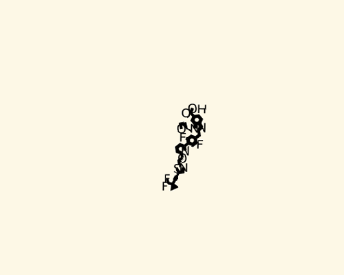 O=C(O)c1ccc2nc(Cc3cc(F)c(-c4cccc(OCc5ncc(C#CC6(C(F)F)CC6)s5)n4)cc3F)n(C[C@@H]3CCO3)c2c1